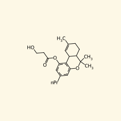 CCCc1cc(OC(=O)CCO)c2c(c1)OC(C)(C)C1CCC(C)=CC21